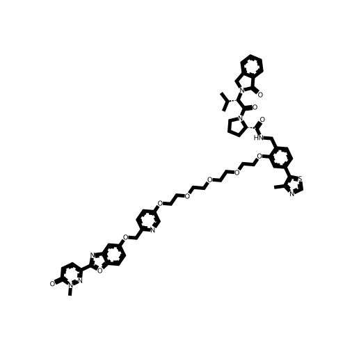 Cc1ncsc1-c1ccc(CNC(=O)[C@@H]2CCCN2C(=O)[C@H](C(C)C)N2Cc3ccccc3C2=O)c(OCCOCCOCCOCCOc2ccc(COc3ccc4oc(-c5ccc(=O)n(C)n5)nc4c3)nc2)c1